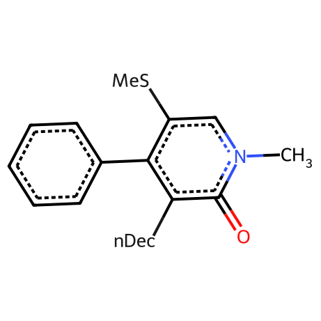 CCCCCCCCCCc1c(-c2ccccc2)c(SC)cn(C)c1=O